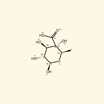 C[C@H]1O[C@@H](O)[C@H](O)[C@@H](O)[C@@]1(O)C(=O)O